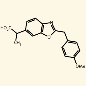 COc1ccc(Cc2nc3ccc(C(C)C(=O)O)cc3o2)cc1